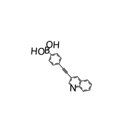 OB(O)c1ccc(C#Cc2cnc3ccccc3c2)cc1